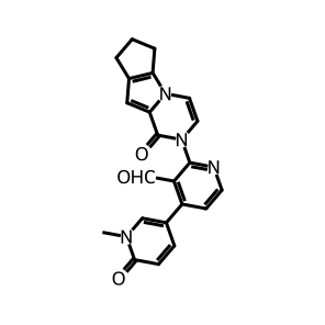 Cn1cc(-c2ccnc(-n3ccn4c5c(cc4c3=O)CCC5)c2C=O)ccc1=O